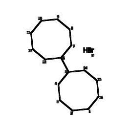 Br.C1CCCC(C2CCCCCCC2)CCC1